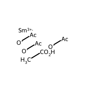 CC(=O)O.CC(=O)[O-].CC(=O)[O-].CC(=O)[O-].[Sm+3]